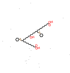 O=C(O)CCCCCCCCCC(CCCCCC(O)CCCCCC(CCCCCCCCCC(=O)O)CSC1CCCCC1)CSC1CCCCC1